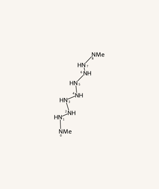 CNNNNNNNNNC